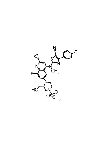 CN(c1nc(-c2ccc(F)cc2)c(C#N)s1)c1cc(C2CC2)nc2c(F)cc(N3CCN(S(C)(=O)=O)CC3CO)cc12